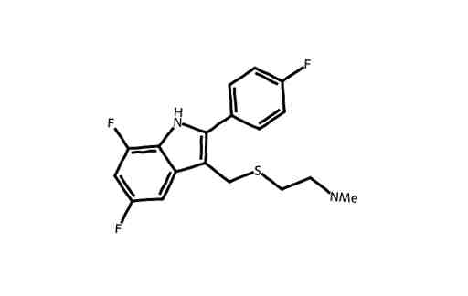 CNCCSCc1c(-c2ccc(F)cc2)[nH]c2c(F)cc(F)cc12